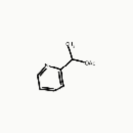 CC(=O)OC(C)c1ccccn1